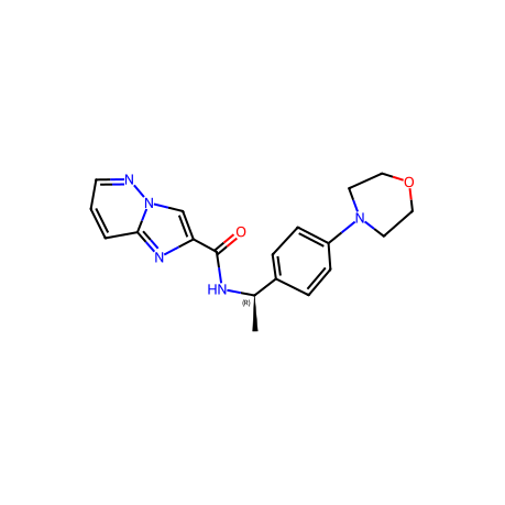 C[C@@H](NC(=O)c1cn2ncccc2n1)c1ccc(N2CCOCC2)cc1